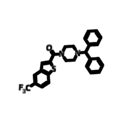 O=C(c1cc2cc(C(F)(F)F)ccc2s1)N1CCN(C(c2ccccc2)c2ccccc2)CC1